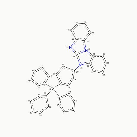 c1ccc([Si](c2ccccc2)(c2ccccc2)c2ccc(-n3c4ccccc4n4c5ccccc5nc34)cc2)cc1